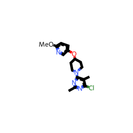 COc1ccc(OC2CCN(c3nc(C)nc(Cl)c3C)CC2)cn1